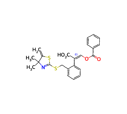 C=C1SC(SCc2ccccc2/C(=C\OC(=O)c2ccccc2)C(=O)O)=NC1(C)C